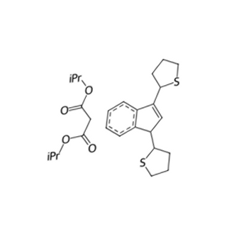 C1=C(C2CCCS2)c2ccccc2C1C1CCCS1.CC(C)OC(=O)CC(=O)OC(C)C